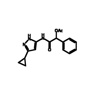 CC(=O)OC(C(=O)Nc1cc(C2CC2)n[nH]1)c1ccccc1